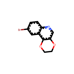 Brc1ccc2ncc3c(c2c1)OCCO3